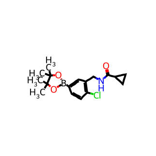 CC1(C)OB(c2ccc(Cl)c(CNC(=O)C3CC3)c2)OC1(C)C